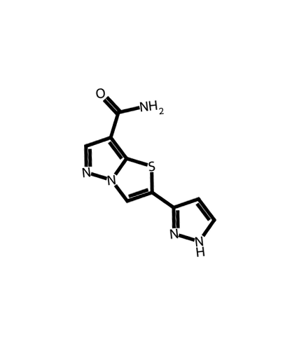 NC(=O)c1cnn2cc(-c3cc[nH]n3)sc12